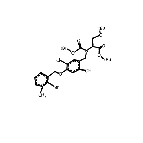 Cc1cccc(COc2cc(O)c(CN(C(=O)OC(C)(C)C)C(COC(C)(C)C)C(=O)OC(C)(C)C)cc2Cl)c1Br